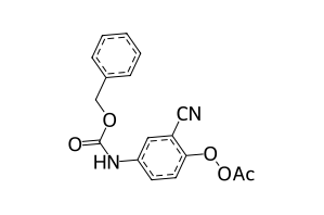 CC(=O)OOc1ccc(NC(=O)OCc2ccccc2)cc1C#N